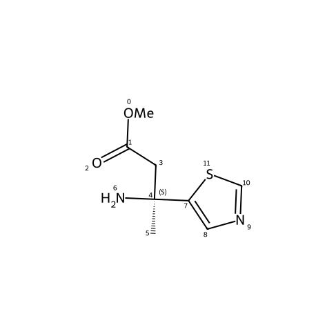 COC(=O)C[C@](C)(N)c1cncs1